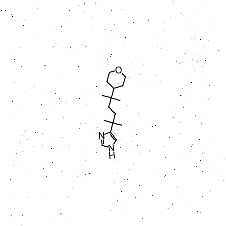 CC(C)(CCC(C)(C)C1CCOCC1)c1c[nH]cn1